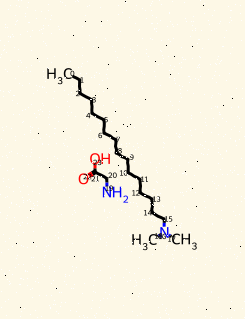 CCCCCCCCCCCCCCCCN(C)C.NCC(=O)O